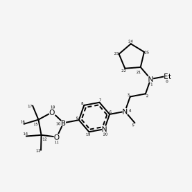 CCN(CCN(C)c1ccc(B2OC(C)(C)C(C)(C)O2)cn1)C1CCCC1